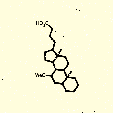 COC1CC2CCCCC2(C)C2CCC3(C)C(CCCC(=O)O)CCC3C12